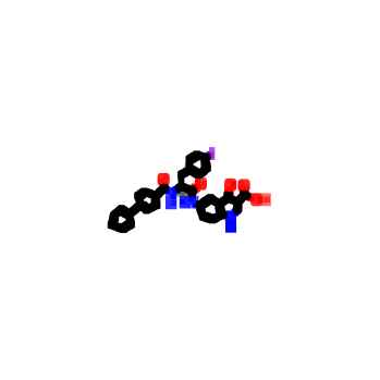 O=C(N[C@@H](Cc1ccc(I)cc1)C(=O)Nc1ccc2[nH]cc(C(=O)O)c(=O)c2c1)c1ccc(-c2ccccc2)cc1